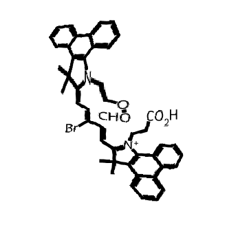 CC1(C)C(/C=C/C(Br)=C/C=C2\N(CCOC=O)c3c(c4ccccc4c4ccccc34)C2(C)C)=[N+](CCC(=O)O)c2c1c1ccccc1c1ccccc21